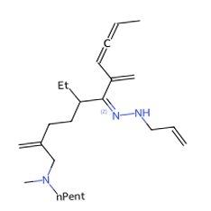 C=CCN/N=C(\C(=C)C=C=CC)C(CC)CCC(=C)CN(C)CCCCC